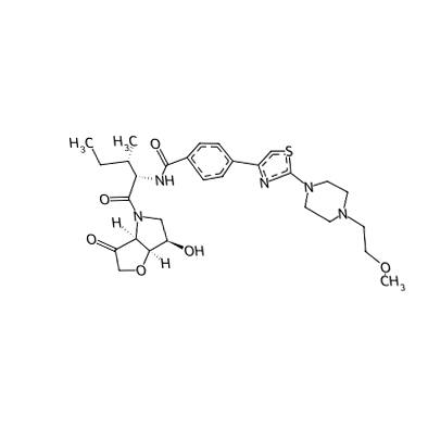 CC[C@H](C)[C@H](NC(=O)c1ccc(-c2csc(N3CCN(CCOC)CC3)n2)cc1)C(=O)N1C[C@@H](O)[C@H]2OCC(=O)[C@H]21